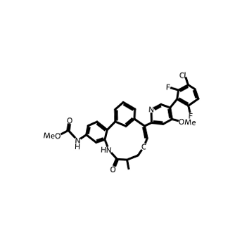 COC(=O)Nc1ccc2c(c1)NC(=O)C(C)CC/C=C(/c1cc(OC)c(-c3c(F)ccc(Cl)c3F)cn1)c1cccc-2c1